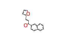 O=C(C=Cc1ccco1)c1ccc2ccccc2c1